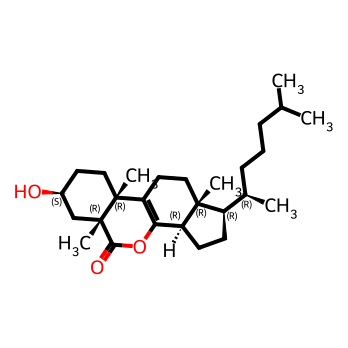 CC(C)CCC[C@@H](C)[C@H]1CC[C@H]2C3=C(CC[C@]12C)[C@@]1(C)CC[C@H](O)C[C@@]1(C)C(=O)O3